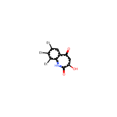 CCc1cc2c(=O)cc(O)c(=O)[nH]c2c(CC)c1CC